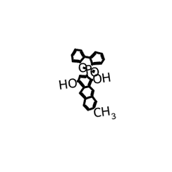 Cc1ccc2cc3c(O)cc(P4(=O)Oc5ccccc5-c5ccccc54)c(O)c3cc2c1